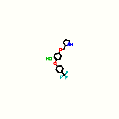 Cl.FC(F)(F)c1ccc(Oc2ccc(OC[C@H]3CCCN3)cc2)cc1